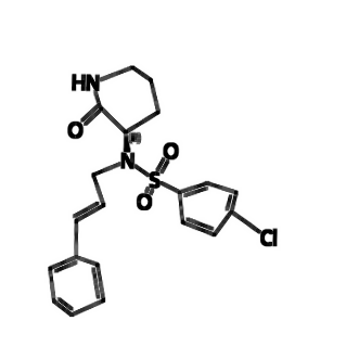 O=C1NCCC[C@H]1N(CC=Cc1ccccc1)S(=O)(=O)c1ccc(Cl)cc1